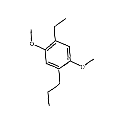 CCCc1cc(OC)c(CC)cc1OC